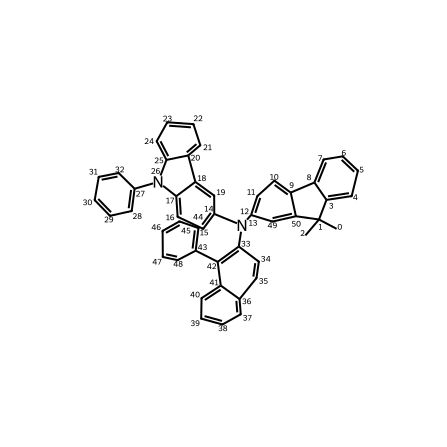 CC1(C)c2ccccc2-c2ccc(N(c3ccc4c(c3)c3ccccc3n4-c3ccccc3)c3ccc4ccccc4c3-c3ccccc3)cc21